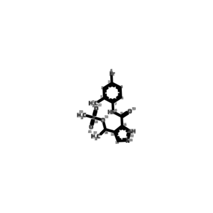 Cc1cc(Br)ccc1NC(=O)c1[nH]ncc1C(C)OS(C)(=O)=O